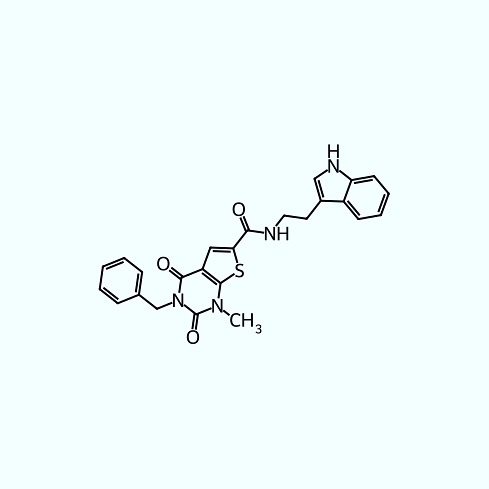 Cn1c(=O)n(Cc2ccccc2)c(=O)c2cc(C(=O)NCCc3c[nH]c4ccccc34)sc21